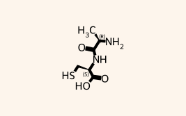 C[C@@H](N)C(=O)N[C@H](CS)C(=O)O